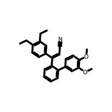 CCc1ccc(C(=CC#N)c2ccccc2-c2ccc(OC)c(OC)c2)cc1CC